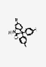 Cc1ccc(C(C(N)=O)(c2ccc(F)cc2)c2ccc(F)cc2)cc1